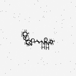 O=C(NCC=CCOc1cc(CN2CCCCC2)ccn1)NC1CCC1